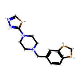 c1nnc(N2CCN(Cc3ccc4c(c3)SCS4)CC2)s1